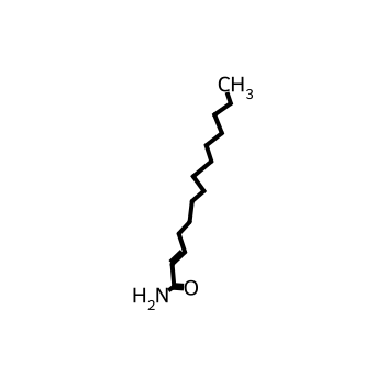 CCCCCCCCCCCC=CC(N)=O